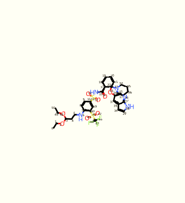 CCOC(CCNc1ccc(S(=O)(=O)NC(=O)C2C=CC=CC2(Oc2cnc3[nH]ccc3c2)N2CCCCC2)cc1S(=O)(=O)C(F)(F)F)OCC